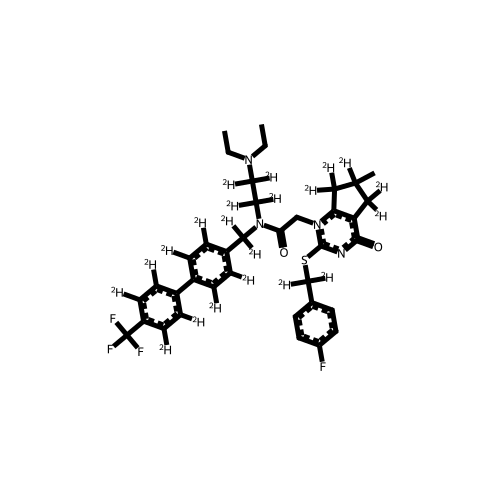 [2H]c1c([2H])c(C(F)(F)F)c([2H])c([2H])c1-c1c([2H])c([2H])c(C([2H])([2H])N(C(=O)Cn2c(SC([2H])([2H])c3ccc(F)cc3)nc(=O)c3c2C([2H])([2H])C([2H])(C)C3([2H])[2H])C([2H])([2H])C([2H])([2H])N(CC)CC)c([2H])c1[2H]